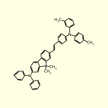 Cc1ccc(N(c2ccc(/C=C/c3ccc4c(c3)C(C)(C)c3cc(N(c5ccccc5)c5ccccc5)ccc3-4)cc2)c2cccc(C)c2)cc1